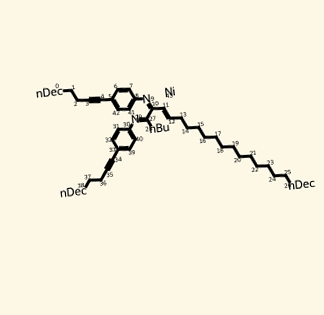 CCCCCCCCCCCCC#Cc1ccc(N=C(C=CCCCCCCCCCCCCCCCCCCCCCCC)C(CCCC)=Nc2ccc(C#CCCCCCCCCCCCC)cc2)cc1.[Ni]